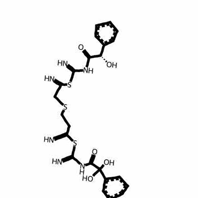 N=C(CSCCC(=N)SC(=N)NC(=O)C(O)(O)c1ccccc1)SC(=N)NC(=O)[C@@H](O)c1ccccc1